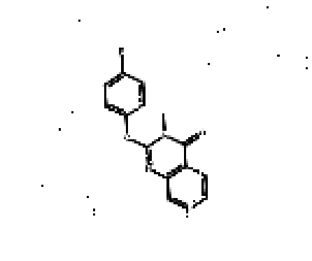 Cn1c(Oc2ccc(F)cc2)nc2cnccc2c1=O